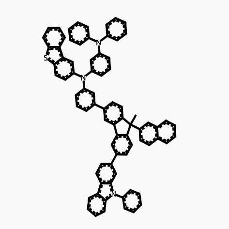 CC1(c2ccc3ccccc3c2)c2ccc(-c3cccc(N(c4cccc(N(c5ccccc5)c5ccccc5)c4)c4ccc5sc6ccccc6c5c4)c3)cc2-c2cc(-c3ccc4c5ccccc5n(-c5ccccc5)c4c3)ccc21